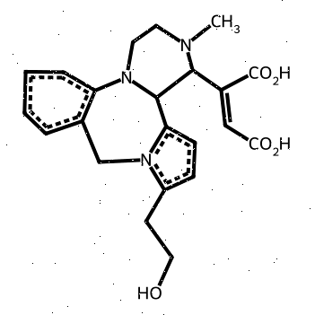 CN1CCN2c3ccccc3Cn3c(CCO)ccc3C2C1C(=CC(=O)O)C(=O)O